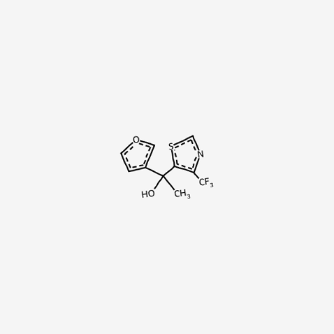 CC(O)(c1ccoc1)c1scnc1C(F)(F)F